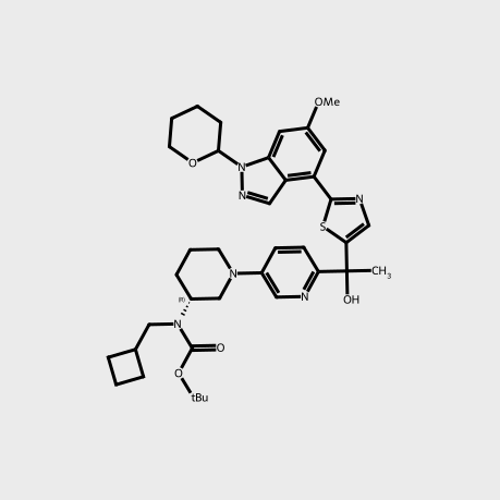 COc1cc(-c2ncc(C(C)(O)c3ccc(N4CCC[C@@H](N(CC5CCC5)C(=O)OC(C)(C)C)C4)cn3)s2)c2cnn(C3CCCCO3)c2c1